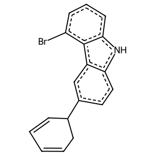 Brc1cccc2[nH]c3ccc(C4C=CC=CC4)cc3c12